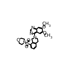 COc1cc2ncnc(N3CCc4cccc(S(=O)(=O)N5CCOCC5)c4C3)c2cc1OC